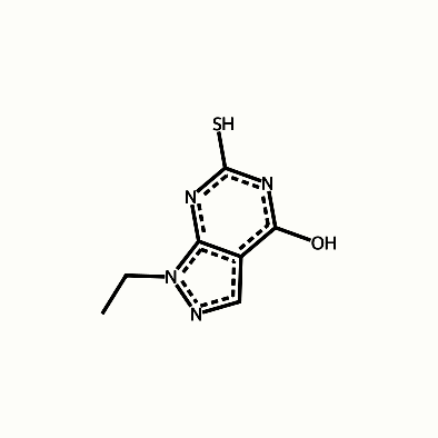 CCn1ncc2c(O)nc(S)nc21